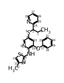 CCC(Sc1cnc(Nc2nc(C)cs2)c(Oc2ccccc2)c1)c1ccccn1